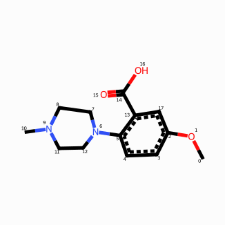 COc1ccc(N2CCN(C)CC2)c(C(=O)O)c1